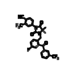 CC1(C)C(=O)N(c2ccc(C#N)c(C(F)(F)F)c2)C(=O)N1Cc1ccc(F)cc1C(=O)c1cccc(C(F)(F)F)c1